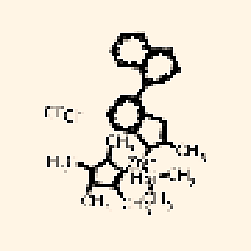 CC1=Cc2c(-c3cccc4ccccc34)cccc2[CH]1[Zr+2]([C]1=C(C)C(C)=C(C)C1C)[SiH](C)C.[Cl-].[Cl-]